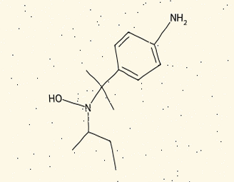 CCC(C)N(O)C(C)(C)c1ccc(N)cc1